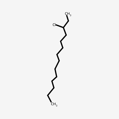 CCCCCCCCCCCC(Cl)CC